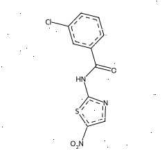 O=C(Nc1ncc([N+](=O)[O-])s1)c1[c]ccc(Cl)c1